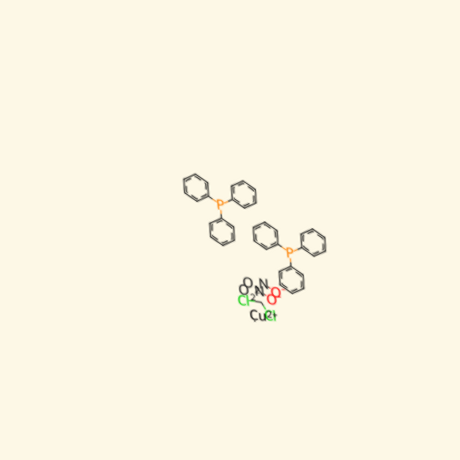 ClCCl.O=[N+]([O-])[O-].O=[N+]([O-])[O-].[Cu+2].c1ccc(P(c2ccccc2)c2ccccc2)cc1.c1ccc(P(c2ccccc2)c2ccccc2)cc1